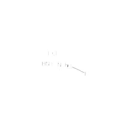 Cl.[Cl][K].[NaH].[NaH]